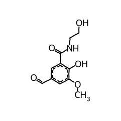 COc1cc(C=O)cc(C(=O)NCCO)c1O